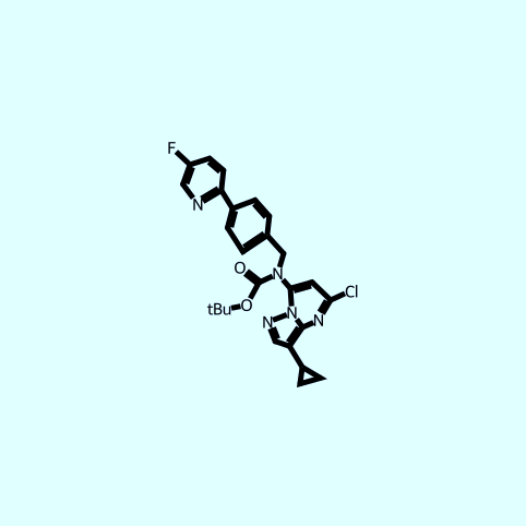 CC(C)(C)OC(=O)N(Cc1ccc(-c2ccc(F)cn2)cc1)c1cc(Cl)nc2c(C3CC3)cnn12